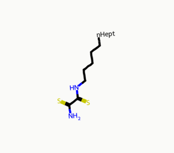 CCCCCCCCCCCCNC(=S)C(N)=S